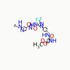 CC(=O)O[C@H]1CN[C@H](C(=O)NCc2ccc(-n3cc(NC(=O)c4coc(-c5ccnc(NCC6CC6)c5)n4)c(C(F)F)n3)cc2)C1